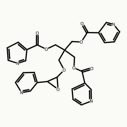 O=C(OCC(COC(=O)c1cccnc1)(COC(=O)c1cccnc1)COC1OC1c1cccnc1)c1cccnc1